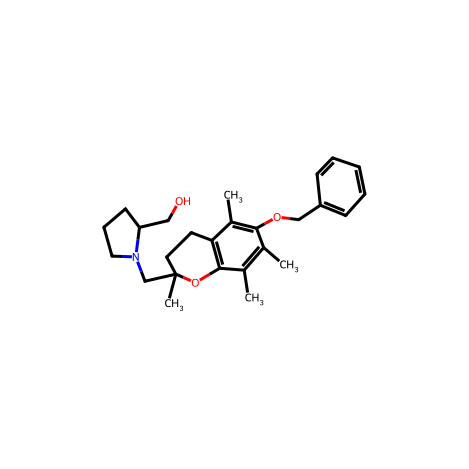 Cc1c(C)c2c(c(C)c1OCc1ccccc1)CCC(C)(CN1CCCC1CO)O2